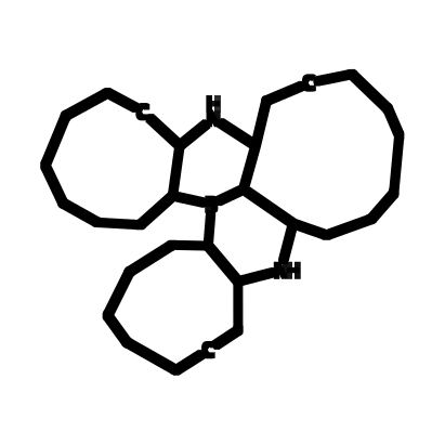 C1CCCCC2NC3CCCCCCCC3B3C4CCCCCCCC4NC(CCC1)C32